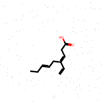 C=C/C(=C/CC(=O)O)C/C=C/CC